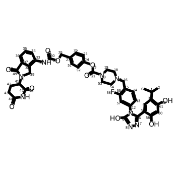 CC(C)c1cc(-c2nnc(O)n2-c2ccc(CN3CCN(C(=O)Oc4ccc(COC(=O)Nc5cccc6c5CN(C5CCC(=O)NC5=O)C6=O)cc4)CC3)c(F)c2)c(O)cc1O